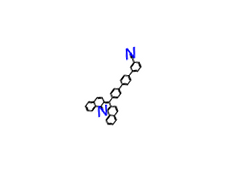 N#Cc1cccc(-c2ccc(-c3ccc(-c4c5ccc6ccccc6c5nc5c4ccc4ccccc45)cc3)cc2)c1